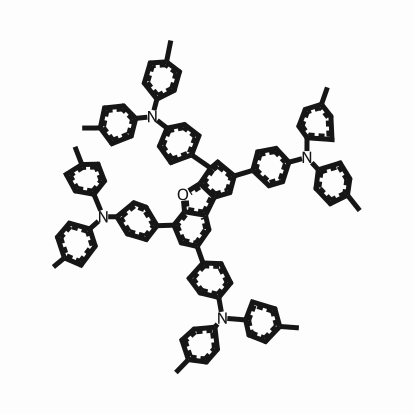 Cc1ccc(N(c2ccc(C)cc2)c2ccc(-c3cc(-c4ccc(N(c5ccc(C)cc5)c5ccc(C)cc5)cc4)c4oc5c(-c6ccc(N(c7ccc(C)cc7)c7ccc(C)cc7)cc6)cc(-c6ccc(N(c7ccc(C)cc7)c7ccc(C)cc7)cc6)cc5c4c3)cc2)cc1